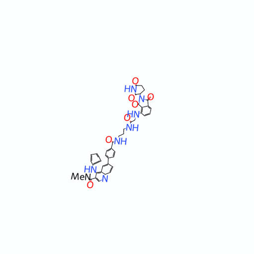 CNC(=O)c1cnc2ccc(-c3ccc(C(=O)NCCCNC(=O)CNc4cccc5c4C(=O)N(C4CCC(=O)NC4=O)C5=O)cc3)cc2c1Nc1ccccc1